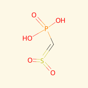 O=S(=O)=CP(=O)(O)O